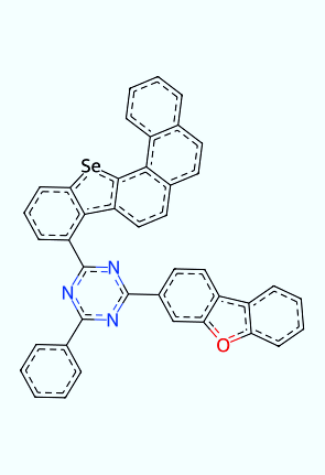 c1ccc(-c2nc(-c3ccc4c(c3)oc3ccccc34)nc(-c3cccc4[se]c5c(ccc6ccc7ccccc7c65)c34)n2)cc1